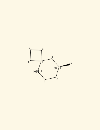 C[C@H]1CCNC2(CCC2)C1